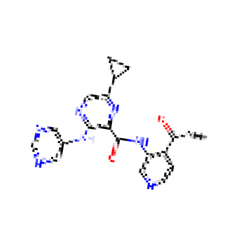 CNC(=O)c1ccncc1NC(=O)c1nc(C2CC2)cnc1Nc1cncnc1